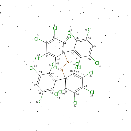 ClC1=C(Cl)C(Cl)C(SSC2(c3c(Cl)c(Cl)cc(Cl)c3Cl)C(Cl)=C(Cl)C(Cl)=C(Cl)C2Cl)(c2c(Cl)c(Cl)cc(Cl)c2Cl)C(Cl)=C1Cl